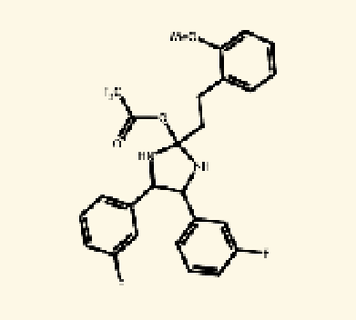 COc1ccccc1CCC1(OC(=O)C(F)(F)F)NC(c2cccc(F)c2)C(c2cccc(F)c2)N1